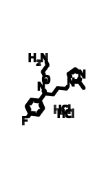 Cc1nccn1CCCC(=NOCCN)c1ccc(F)cc1.Cl.Cl